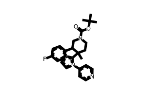 CC(C)(C)OC(=O)N1CCC(C)(c2nccn2-c2ccncc2)C(c2ccc(F)cc2)C1